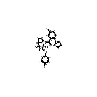 Cc1ccc(-n2nccn2)c(C(=O)N2C3CC(C3)[C@@H](C)[C@H]2COc2ccc(F)cc2)c1